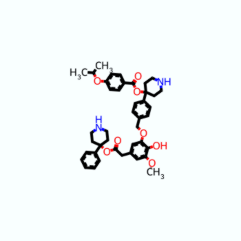 COc1cc(CC(=O)OC2(c3ccccc3)CCNCC2)cc(OCc2ccc(C3(OC(=O)c4ccc(OC(C)C)cc4)CCNCC3)cc2)c1O